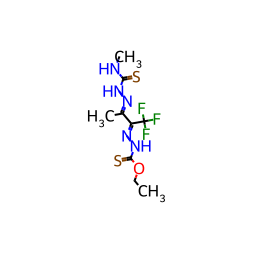 CCOC(=S)N/N=C(/C(C)=N/NC(=S)NC)C(F)(F)F